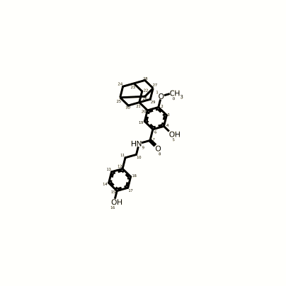 COc1cc(O)c(C(=O)NCCc2ccc(O)cc2)cc1C12CC3CC(CC(C3)C1)C2